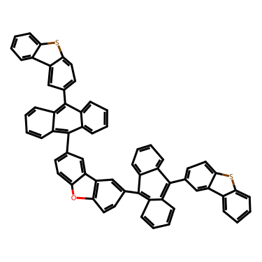 c1ccc2c(c1)sc1ccc(-c3c4ccccc4c(-c4ccc5oc6ccc(-c7c8ccccc8c(-c8ccc9sc%10ccccc%10c9c8)c8ccccc78)cc6c5c4)c4ccccc34)cc12